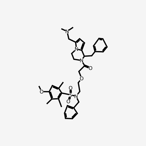 COc1cc(C)c(S(=O)(=O)N(CCOCC(=O)N2CCn3c(CN(C)C)ccc3C2Cc2ccccc2)Cc2ccccc2)c(C)c1C